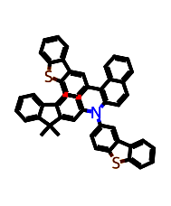 CC1(C)c2ccccc2-c2ccc(N(c3ccc4sc5ccccc5c4c3)c3ccc4ccccc4c3-c3ccc4sc5ccccc5c4c3)cc21